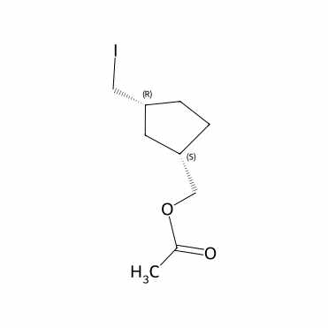 CC(=O)OC[C@H]1CC[C@@H](CI)C1